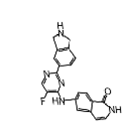 O=c1[nH]ccc2cc(Nc3nc(-c4ccc5c(c4)CNC5)ncc3F)ccc12